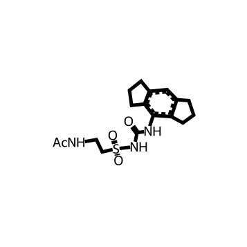 CC(=O)NCCS(=O)(=O)NC(=O)Nc1c2c(cc3c1CCC3)CCC2